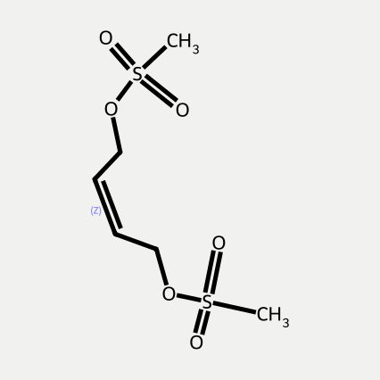 CS(=O)(=O)OC/C=C\COS(C)(=O)=O